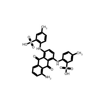 Cc1ccc(Nc2ccc(Nc3ccc(C)cc3S(=O)(=O)O)c3c2C(=O)c2cccc(N)c2C3=O)c(S(=O)(=O)O)c1